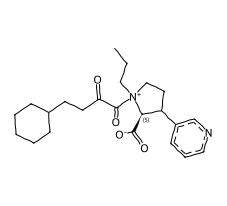 CCC[N+]1(C(=O)C(=O)CCC2CCCCC2)CCC(c2cccnc2)[C@H]1C(=O)[O-]